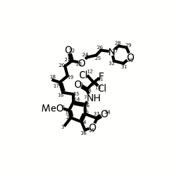 COc1c(C)c2c(c(NC(=O)C(F)(Cl)Cl)c1CC=C(C)CCC(=O)OCCCN1CCOCC1)C(=O)OC2